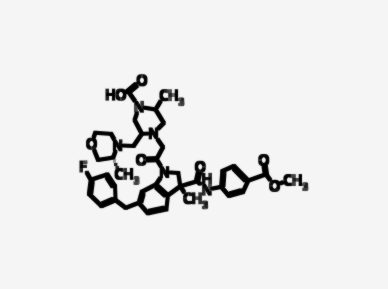 COC(=O)c1ccc(NC(=O)C2(C)CN(C(=O)CN3CC(C)N(C(=O)O)CC3CN3CCOC[C@H]3C)c3cc(Cc4ccc(F)cc4)ccc32)cc1